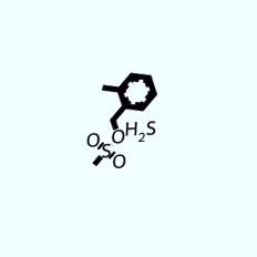 Cc1ccccc1COS(C)(=O)=O.S